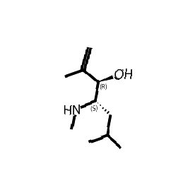 C=C(C)[C@@H](O)[C@H](CC(C)C)NC